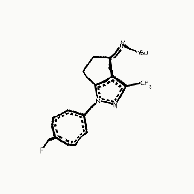 CCCCN=C1CCc2c1c(C(F)(F)F)nn2-c1ccc(F)cc1